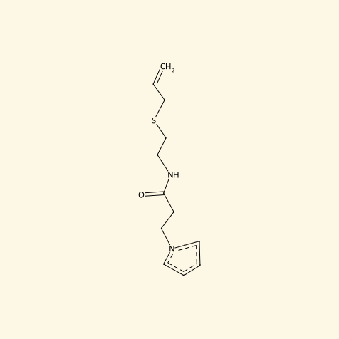 C=CCSCCNC(=O)CCn1cccc1